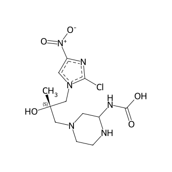 C[C@](O)(CN1CCNC(NC(=O)O)C1)Cn1cc([N+](=O)[O-])nc1Cl